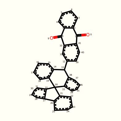 O=C1c2ccccc2C(=O)c2cc(C3c4ccccc4C4(c5ccccc5-c5ccccc54)c4ccccc43)ccc21